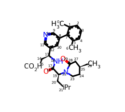 Cc1cccc(C)c1-c1cncc([C@H](CC(=O)O)NC(=O)[C@H](CC(C)C)N2CC[C@H](C)CC2=O)c1